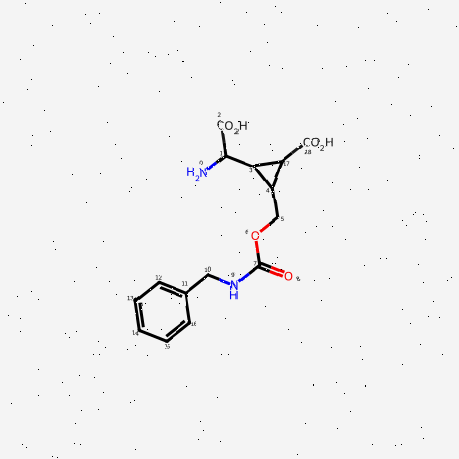 NC(C(=O)O)C1C(COC(=O)NCc2ccccc2)C1C(=O)O